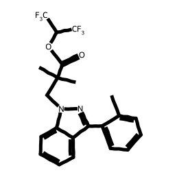 Cc1ccccc1-c1nn(CC(C)(C)C(=O)OC(C(F)(F)F)C(F)(F)F)c2ccccc12